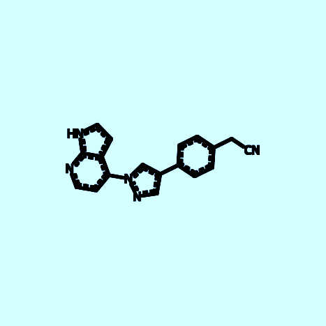 N#CCc1ccc(-c2cnn(-c3ccnc4[nH]ccc34)c2)cc1